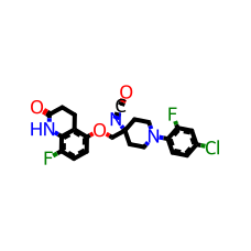 O=C=NC1(COc2ccc(F)c3c2CCC(=O)N3)CCN(c2ccc(Cl)cc2F)CC1